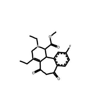 CCC1=C2C(=O)CC(=O)c3ccc(F)cc3C2C(C(=O)OC)N(CC)C1